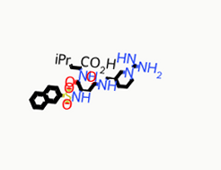 CC(C)C[C@@H](NC(=O)[C@@H](CC(=O)NC[C@@H]1CCCN(C(=N)N)C1)NS(=O)(=O)c1ccc2ccccc2c1)C(=O)O